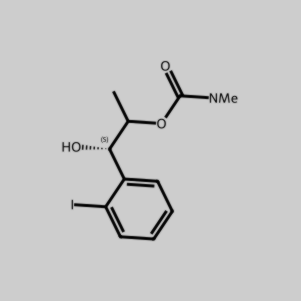 CNC(=O)OC(C)[C@@H](O)c1ccccc1I